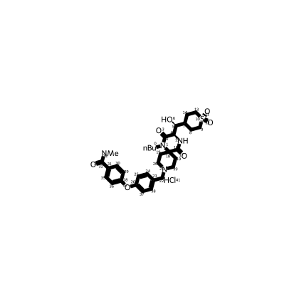 CCCCN1C(=O)[C@@H]([C@H](O)C2CCS(=O)(=O)CC2)NC(=O)C12CCN(Cc1ccc(Oc3ccc(C(=O)NC)cc3)cc1)CC2.Cl